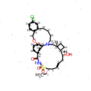 CC[C@H]1C/C=C/C[C@H](O)[C@@H]2CC[C@H]2CN2CCCCc3cc(Cl)ccc3COc3ccc(cc32)C(=O)NS1(=O)=O